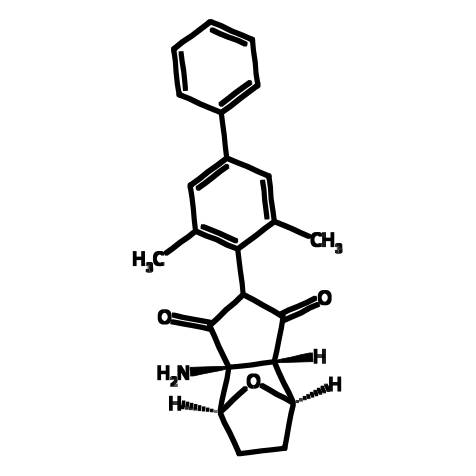 Cc1cc(-c2ccccc2)cc(C)c1C1C(=O)[C@@H]2[C@H]3CC[C@H](O3)[C@]2(N)C1=O